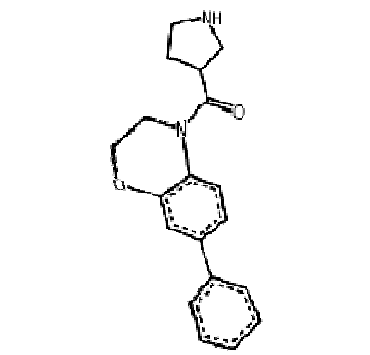 O=C(C1CCNC1)N1CCOc2cc(-c3ccccc3)ccc21